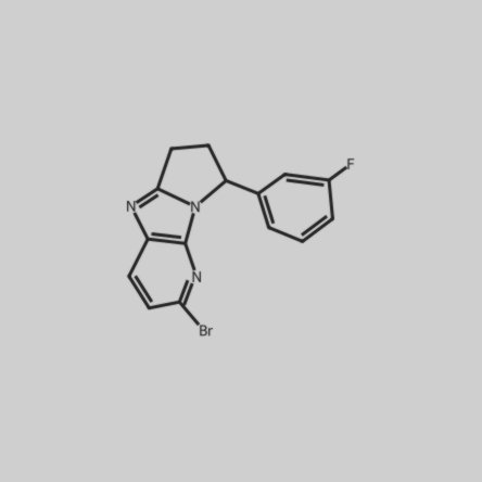 Fc1cccc(C2CCc3nc4ccc(Br)nc4n32)c1